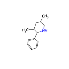 CC1CNC(c2ccccc2)C(C)C1